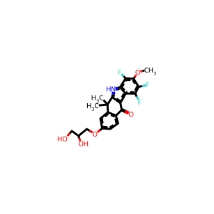 COc1c(F)c(F)c2c3c([nH]c2c1F)C(C)(C)c1cc(OCC(O)CO)ccc1C3=O